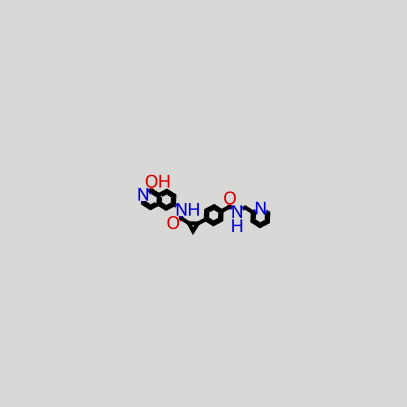 O=C(NCc1ccccn1)c1ccc(C2CC2C(=O)Nc2ccc3c(O)nccc3c2)cc1